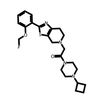 O=C(CN1CCc2nc(-c3ccccc3OCF)sc2C1)N1CCN(C2CCC2)CC1